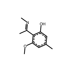 C/N=C(\C)c1c(O)cc(C)cc1OC